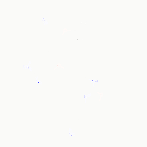 CC(C)Oc1ccc(-c2c[nH]c3nccc(Oc4c(F)cc(NC5=NC[C@@H](Cc6ccncc6)CO5)cc4F)c23)cc1C#N